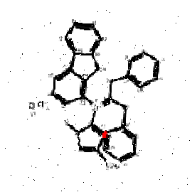 CC1C=C(C(C)(C)C)C=[C]1[Zr+2](=[C](Cc1ccccc1)Cc1ccccc1)[c]1cccc2c1Cc1ccccc1-2.[Cl-].[Cl-]